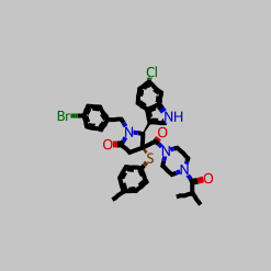 Cc1ccc(S[C@@]2(C(=O)N3CCN(C(=O)C(C)C)CC3)CC(=O)N(Cc3ccc(Br)cc3)[C@H]2c2c[nH]c3cc(Cl)ccc23)cc1